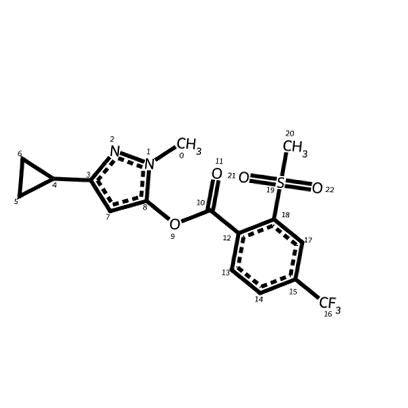 Cn1nc(C2CC2)cc1OC(=O)c1ccc(C(F)(F)F)cc1S(C)(=O)=O